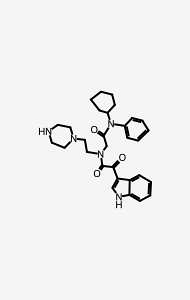 O=C(C(=O)N(CCN1CCNCC1)CC(=O)N(c1ccccc1)C1CCCCC1)c1c[nH]c2ccccc12